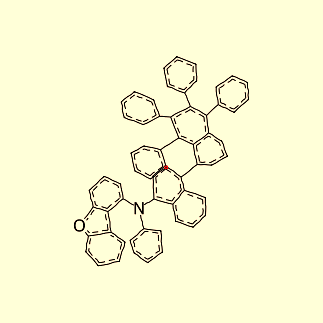 c1ccc(-c2c(-c3ccccc3)c(-c3ccccc3)c3c(-c4ccc(N(c5ccccc5)c5cccc6oc7ccccc7c56)c5ccccc45)cccc3c2-c2ccccc2)cc1